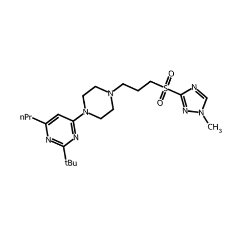 CCCc1cc(N2CCN(CCCS(=O)(=O)c3ncn(C)n3)CC2)nc(C(C)(C)C)n1